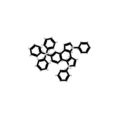 c1ccc(-n2ccc3c4cc([Si](c5ccccc5)(c5ccccc5)c5ccccc5)ccc4c4c(ccn4-c4ccccc4)c32)cc1